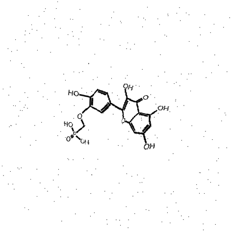 O=c1c(O)c(-c2ccc(O)c(OCP(=O)(O)O)c2)oc2cc(O)cc(O)c12